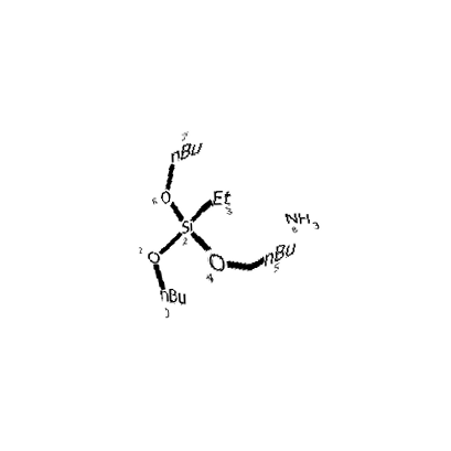 CCCCO[Si](CC)(OCCCC)OCCCC.N